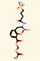 CC(C)(C)C(=O)OCOC(=O)c1cccc2c1OB(O)[C@@H](NC(=O)CCCS(N)(=O)=O)C2